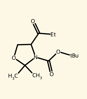 CCC(=O)C1COC(C)(C)N1C(=O)OC(C)(C)C